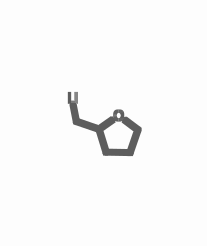 [Li][CH2]C1CCCO1